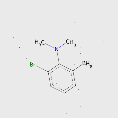 Bc1cccc(Br)c1N(C)C